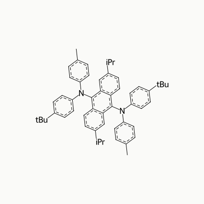 Cc1ccc(N(c2ccc(C(C)(C)C)cc2)c2c3ccc(C(C)C)cc3c(N(c3ccc(C)cc3)c3ccc(C(C)(C)C)cc3)c3ccc(C(C)C)cc23)cc1